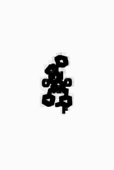 Cc1cc(CNC(=O)c2nc3n(c(=O)c2OCc2ccccc2)CCN3c2ccccc2)ccc1F